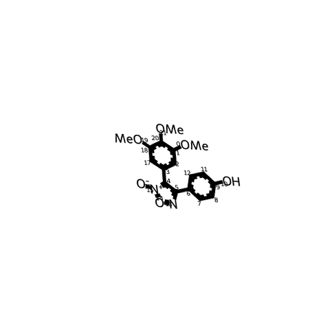 COc1cc(-c2c(-c3ccc(O)cc3)no[n+]2[O-])cc(OC)c1OC